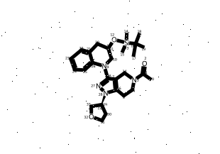 CC(=O)N1CCc2c(c(N3CC(O[Si](C)(C)C(C)(C)C)Cc4ccccc43)nn2[C@H]2CCOC2)C1